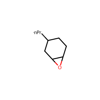 CC[CH]C1CCC2OC2C1